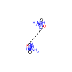 N/C(=N/c1nc(CCCCCCCCCCCCc2cc(=O)[nH]c(/N=C(/N)Nc3ccccc3)n2)cc(=O)[nH]1)Nc1ccccc1